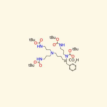 CC(C)(C)OC(=O)NCCCN(CCCC[C@@](Cc1ccccc1)(C(=O)O)N(CCCNC(=O)OC(C)(C)C)C(=O)OC(C)(C)C)CCCNC(=O)OC(C)(C)C